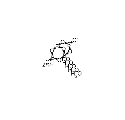 O.O.O.O.O.[O-]B1OB2OB([O-])OB(O1)O2.[Zn+2]